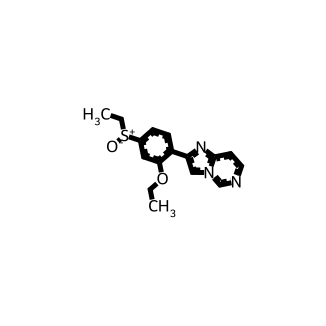 CCOc1cc([S+]([O-])CC)ccc1-c1cn2cnccc2n1